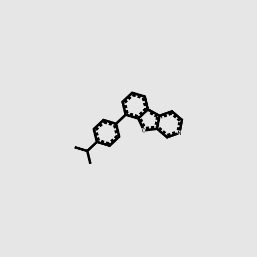 CC(C)c1ccc(-c2cccc3c2oc2cnccc23)cc1